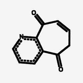 O=C1CC=CC(=O)c2ncccc21